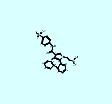 CCN(CC)CCn1cc(C(=O)Nc2ccc(S(C)(=O)=O)cc2)c(C)c1-c1ccccc1-c1ccccc1